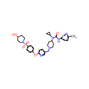 Cc1ccc(NC(=O)N(C2CC2)C2CCN(Cc3ccc(Oc4ccc(S(=O)(=O)N5CCC(O)CC5)cc4)nc3)CC2)cn1